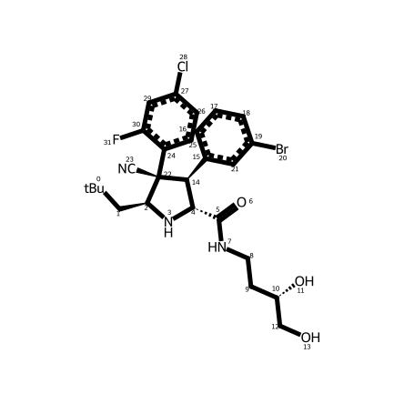 CC(C)(C)C[C@@H]1N[C@@H](C(=O)NCC[C@H](O)CO)[C@H](c2cccc(Br)c2)[C@@]1(C#N)c1ccc(Cl)cc1F